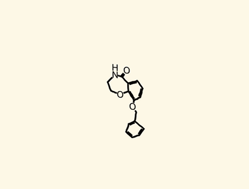 O=C1NCCOc2c(OCc3ccccc3)cccc21